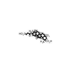 CC1(C)[C@H]2CC[C@]3(C)[C@@H](C(=O)C=C4[C@@H]5C[C@](C)(C(=O)O)CC[C@@]5(C)CC[C@]43C)[C@]2(C)CC[C@H]1OC(=O)CCC(=O)O